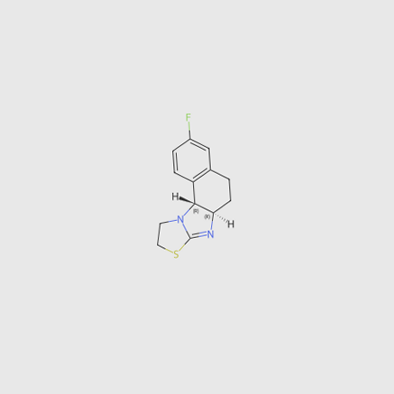 Fc1ccc2c(c1)CC[C@H]1N=C3SCCN3[C@H]21